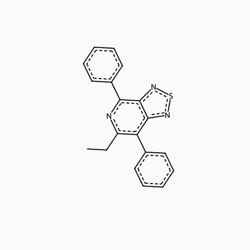 CCc1nc(-c2ccccc2)c2nsnc2c1-c1ccccc1